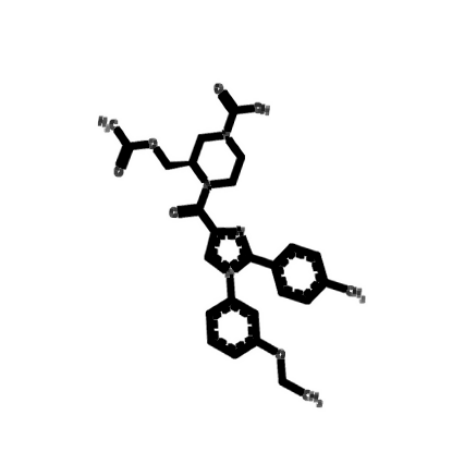 CCOc1cccc(-n2cc(C(=O)N3CCN(C(=O)O)C[C@@H]3COC(C)=O)nc2-c2ccc(C)cc2)c1